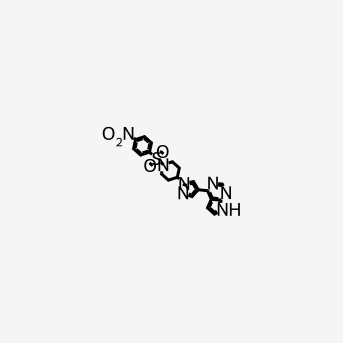 O=[N+]([O-])c1ccc(S(=O)(=O)N2CCC(n3cc(-c4ncnc5[nH]ccc45)cn3)CC2)cc1